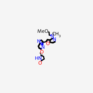 COCCN(C)c1nccc2oc(-c3cnc4ccc(OC[C@H]5CCC(=O)N5)nn34)cc12